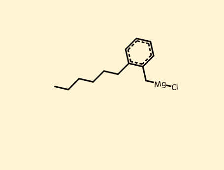 CCCCCCc1ccccc1[CH2][Mg][Cl]